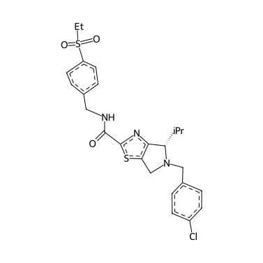 CCS(=O)(=O)c1ccc(CNC(=O)c2nc3c(s2)CN(Cc2ccc(Cl)cc2)[C@H]3C(C)C)cc1